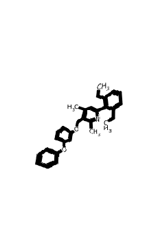 CCc1cccc(CC)c1-c1cc(C)c(COc2cccc(Oc3ccccc3)c2)c(C)n1